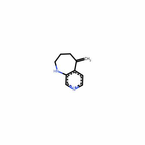 C=C1CCCNc2cnccc21